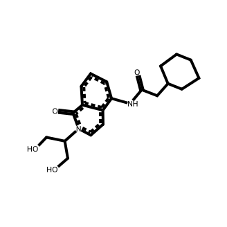 O=C(CC1CCCCC1)Nc1cccc2c(=O)n(C(CO)CO)ccc12